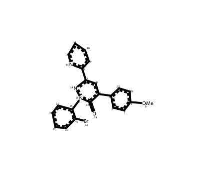 COc1ccc(-c2cc(-c3ccccn3)nn(-c3ccccc3Br)c2=O)cc1